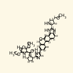 COC[C@@H]1CN[C@H](c2nc3ccc4cc5c(cc4c3[nH]2)OCc2cc(-c3cnc([C@@H]4CCCN4C(=O)[C@@H](NC(=O)OC)[C@@H](C)OC)[nH]3)ccc2-5)C1